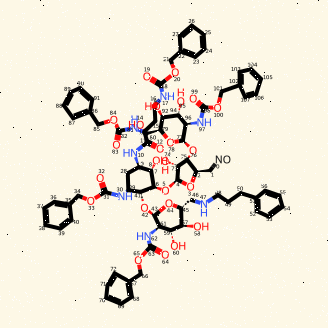 O=NC[C@H]1O[C@@H](O[C@@H]2[C@@H](O)[C@H](NC(=O)[C@@H](O)CCNC(=O)OCc3ccccc3)C[C@H](NC(=O)OCc3ccccc3)[C@H]2O[C@H]2O[C@H](CNCCCc3ccccc3)[C@@H](O)[C@H](O)[C@H]2NC(=O)OCc2ccccc2)[C@H](O)[C@@H]1O[C@H]1O[C@@H](CNC(=O)OCc2ccccc2)[C@@H](O)[C@H](O)[C@H]1NC(=O)OCc1ccccc1